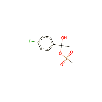 CC(O)(OS(C)(=O)=O)c1ccc(F)cc1